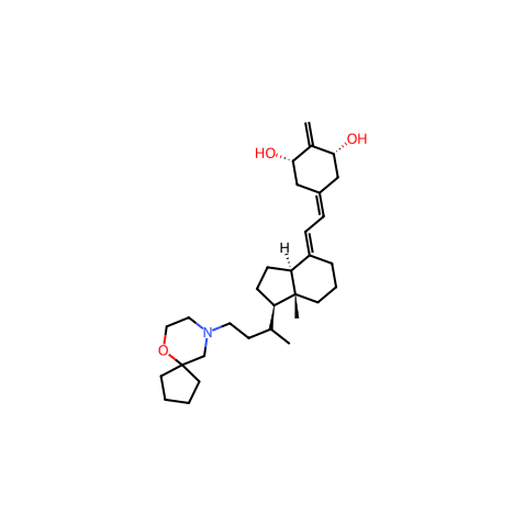 C=C1[C@H](O)C/C(=C/C=C2CCC[C@]3(C)[C@@H](C(C)CCN4CCOC5(CCCC5)C4)CC[C@@H]23)C[C@@H]1O